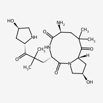 CC(C)(C[C@@H]1NC(=O)[C@@H](N)CC(C)(C)C(=O)[C@@H]2C[C@@H](O)CN2C1=O)C(=O)[C@@H]1C[C@@H](O)CN1